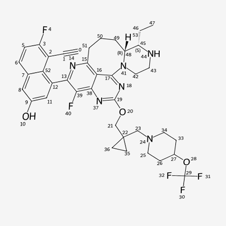 C#Cc1c(F)ccc2cc(O)cc(-c3nc4c5c(nc(OCC6(CN7CCC(OC(F)(F)F)CC7)CC6)nc5c3F)N3CCN[C@@H](CC)[C@H]3CCC4)c12